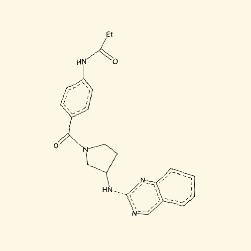 CCC(=O)Nc1ccc(C(=O)N2CCC(Nc3ncc4ccccc4n3)C2)cc1